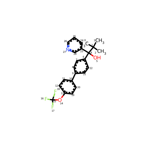 CC(C)(C)C(O)(c1ccc(-c2ccc(OC(F)(F)F)cc2)cc1)c1cccnc1